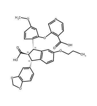 CCCOc1ccc2c(c1)[C@@H](c1ccc(OC)cc1Oc1cnccc1C(=O)O)[C@H](C(=O)O)[C@H]2c1ccc2c(c1)OCO2